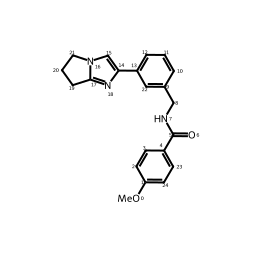 COc1ccc(C(=O)NCc2cccc(-c3cn4c(n3)CCC4)c2)cc1